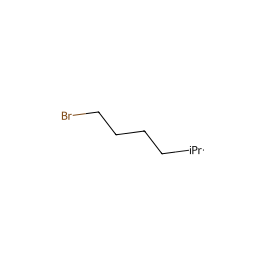 C[C](C)CCCCBr